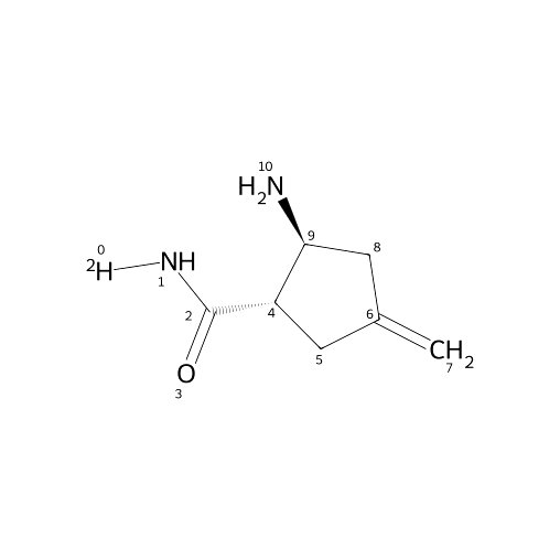 [2H]NC(=O)[C@H]1CC(=C)C[C@@H]1N